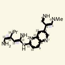 CN/C=C(\C=N)c1cnc2ccc(N/C(N)=C/C(=C\N)C(C)C)nc2c1